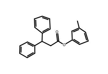 Cc1cccc(OC(=O)CC(c2ccccc2)c2ccccc2)c1